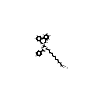 CCCCCCCCCCCCSC(=NC(=O)c1ccccc1)N1Cc2ccccc2-c2ccccc2C1